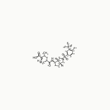 CC(C[C@H](C)C(=O)N[C@@H]1CC[C@H]2CN(S(=O)(=O)c3ccc(F)c(C(F)(F)F)c3)C[C@H]21)N(C)C(=O)O